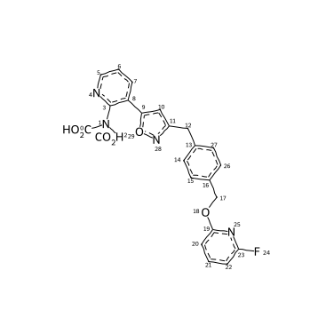 O=C(O)N(C(=O)O)c1ncccc1-c1cc(Cc2ccc(COc3cccc(F)n3)cc2)no1